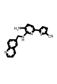 N#Cc1ccc(-c2ccc(N)c(NCc3ccc4ncccc4c3)n2)s1